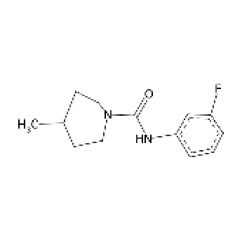 CC1CCN(C(=O)Nc2cccc(F)c2)CC1